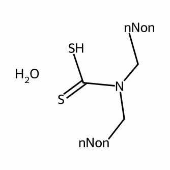 CCCCCCCCCCN(CCCCCCCCCC)C(=S)S.O